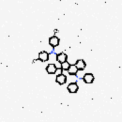 Cc1ccc(N(c2ccc(C)cc2)c2ccc3c(c2)C(c2ccccc2)(c2ccccc2)c2cc(N(c4ccccc4)c4ccccc4)c4ccccc4c2-3)cc1